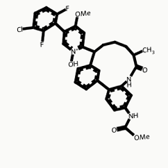 COC(=O)Nc1ccc2c(c1)NC(=O)C(C)CCCC(c1cc(OC)c(-c3c(F)ccc(Cl)c3F)c[n+]1O)c1cccc-2c1